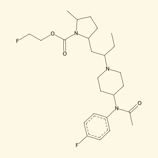 CCC(CC1CCC(C)N1C(=O)OCCF)N1CCC(N(C(C)=O)c2ccc(F)cc2)CC1